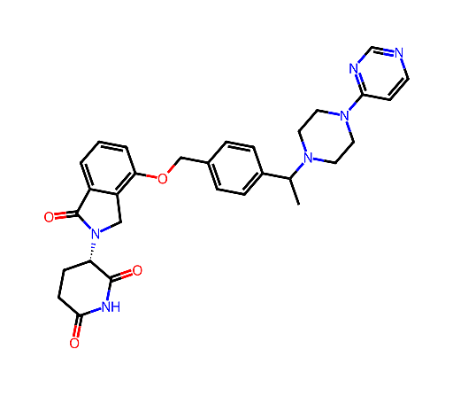 CC(c1ccc(COc2cccc3c2CN([C@H]2CCC(=O)NC2=O)C3=O)cc1)N1CCN(c2ccncn2)CC1